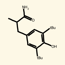 CC(Cc1cc(C(C)(C)C)c(O)c(C(C)(C)C)c1)C(N)=O